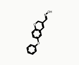 O/N=C/C1=Cc2cc(Oc3ccccc3)ccc2OC1